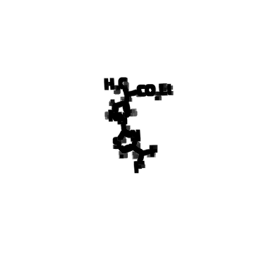 CCOC(=O)C(C)c1cnn(-c2nc(C(F)F)cs2)c1